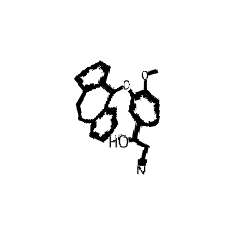 COc1ccc(C(O)CC#N)cc1OC1c2ccccc2CCc2ccccc21